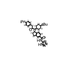 CC(C)c1ccc(CC(=O)N(C2CCC(C(C)(C)C)CC2)C2CCc3cc(C(=O)Nc4nnn[nH]4)ccc32)cc1